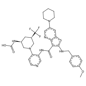 COc1ccc(CNc2sc3cc(N4CCCCC4)cnc3c2C(=O)Nc2cnccc2N2C[C@@H](NC(=O)O)C[C@@H](C(F)(F)F)C2)cc1